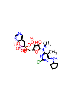 C=NN(c1nc(Cl)nc(NC2CCCC2)c1C)[C@@H]1O[C@H](CS(=O)(=O)C(Cc2cncnc2)P(=O)(O)O)[C@@H](O)[C@H]1O